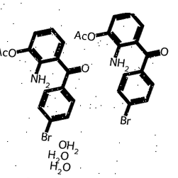 CC(=O)Oc1cccc(C(=O)c2ccc(Br)cc2)c1N.CC(=O)Oc1cccc(C(=O)c2ccc(Br)cc2)c1N.O.O.O